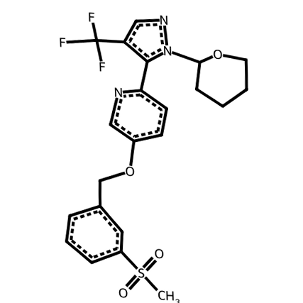 CS(=O)(=O)c1cccc(COc2ccc(-c3c(C(F)(F)F)cnn3C3CCCCO3)nc2)c1